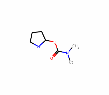 CCN(C)C(=O)OC1CCC[N]1